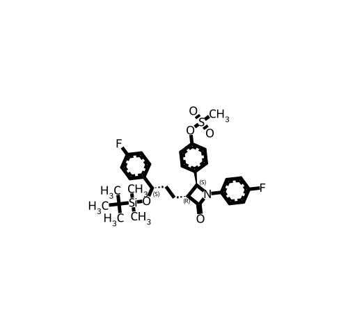 CC(C)(C)[Si](C)(C)O[C@@H](CC[C@H]1C(=O)N(c2ccc(F)cc2)[C@@H]1c1ccc(OS(C)(=O)=O)cc1)c1ccc(F)cc1